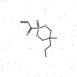 C=CC(=O)P1(=O)OCC(C)(CCC)CO1